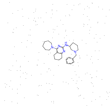 c1ccc(CN2CCC[C@H](Nc3nc4c(c(N5CCCCCC5)n3)CCCC4)C2)cc1